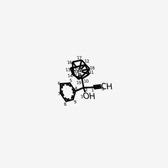 C#CC(O)(c1ccccc1)[C]12[CH]3[CH]4[CH]5[CH]1[Fe]45321678[CH]2[CH]1[CH]6[CH]7[CH]28